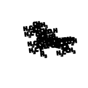 CCC1O[C@@H](OC2[C@H](O[C@H]3CCC4(C)C5CC=C6C7CC(C)(C)CC[C@]7(C(=O)O)C(OC)C[C@@]6(C)C5(C)CC[C@H]4[C@@]3(C)C=O)OC(C(=O)O)[C@@H](C)[C@@H]2O[C@@H]2O[C@@H](C)[C@H](C)C(C)C2C)C(C)[C@@H](C)[C@H]1C